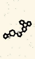 C1=Cc2c(sc3ccccc23)CC(c2cccc(-c3ccc4c5ccccc5c5ccccc5c4c3)n2)=C1